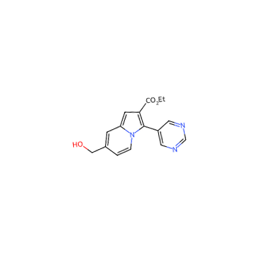 CCOC(=O)c1cc2cc(CO)ccn2c1-c1cncnc1